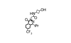 CC(C)c1nn(CC(=O)NC2CC(O)C2)c(=O)c2ccc(C(F)(F)F)cc12